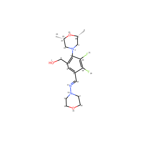 C[C@@H]1CN(c2c(CO)cc(C=NN3CCOCC3)c(F)c2F)C[C@H](C)O1